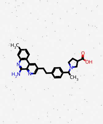 Cc1ccc2c(c1)nc(N)c1ncc(CCc3ccc(C(C)N4CCC(C(=O)O)C4)cc3)cc12